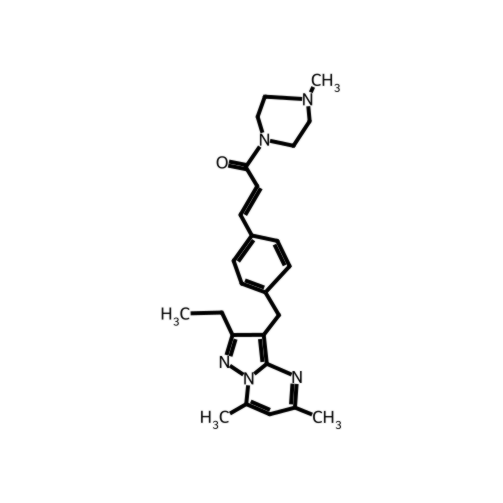 CCc1nn2c(C)cc(C)nc2c1Cc1ccc(/C=C/C(=O)N2CCN(C)CC2)cc1